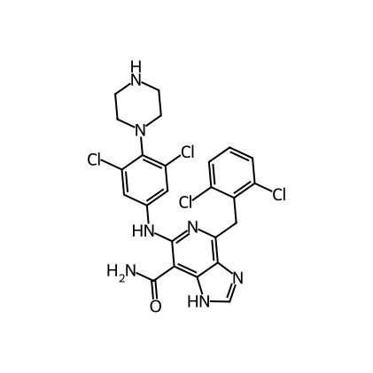 NC(=O)c1c(Nc2cc(Cl)c(N3CCNCC3)c(Cl)c2)nc(Cc2c(Cl)cccc2Cl)c2nc[nH]c12